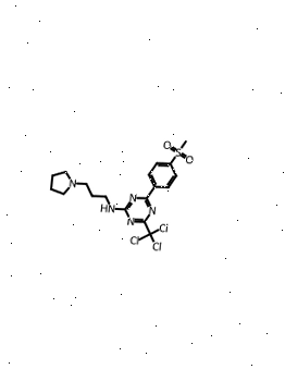 CS(=O)(=O)c1ccc(-c2nc(NCCCN3CCCC3)nc(C(Cl)(Cl)Cl)n2)cc1